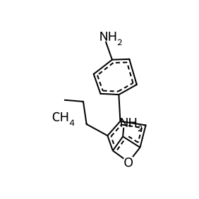 C.CCCc1c(-c2ccc(N)cc2)cc2c(N)c1O2